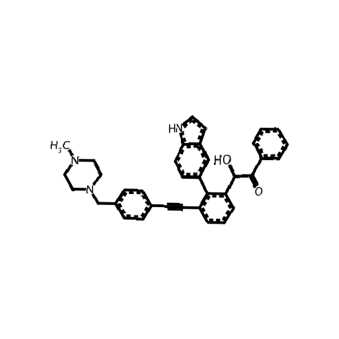 CN1CCN(Cc2ccc(C#Cc3cccc(C(O)C(=O)c4ccccc4)c3-c3ccc4[nH]ccc4c3)cc2)CC1